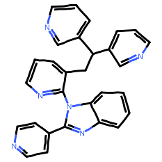 c1cncc(C(Cc2cccnc2-n2c(-c3ccncc3)nc3ccccc32)c2cccnc2)c1